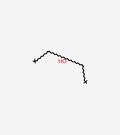 CC(C)(C)CCCCCCC/C=C\CCCCCCCCC(O)CCCCCCCC/C=C\CCCCCCCC(C)(C)C